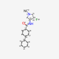 N#CN1C[C@H](NC(=O)c2ccc(-c3ccccc3)cc2)[C@@H](F)C1